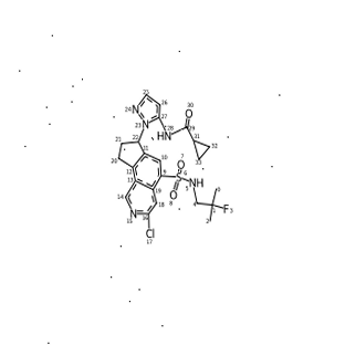 CC(C)(F)CNS(=O)(=O)c1cc2c(c3cnc(Cl)cc13)CCC2n1nccc1NC(=O)C1CC1